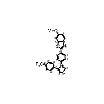 COc1ccc2nc(-c3ccc(-n4cncc4-c4ccc(C(F)(F)F)cc4)cc3)sc2c1